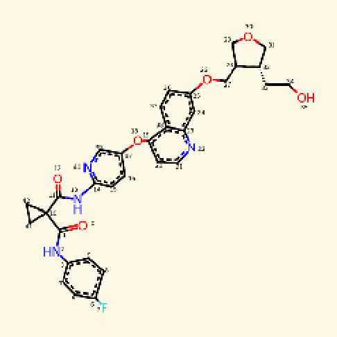 O=C(Nc1ccc(F)cc1)C1(C(=O)Nc2ccc(Oc3ccnc4cc(OCC5COC[C@@H]5CCO)ccc34)cn2)CC1